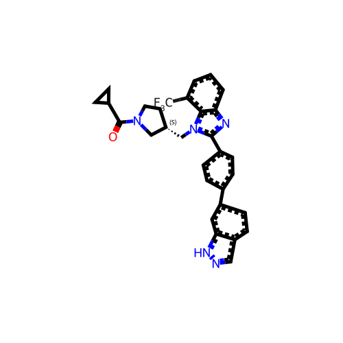 O=C(C1CC1)N1CC[C@H](Cn2c(-c3ccc(-c4ccc5cn[nH]c5c4)cc3)nc3cccc(C(F)(F)F)c32)C1